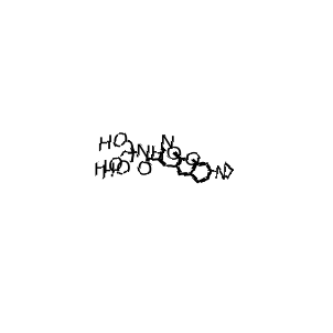 N#C/C(=C\c1cc2ccc(N3CCC3)cc2oc1=O)C(=O)NC(CO)(CO)CO